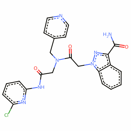 NC(=O)c1nn(CC(=O)N(CC(=O)Nc2cccc(Cl)n2)Cc2ccncc2)c2ccccc12